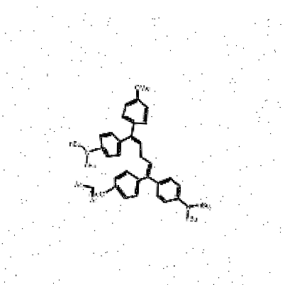 CC(=O)CC(C)=O.CCCCN(CCCC)c1ccc(C(=CCC=C(c2ccc(OC)cc2)c2ccc(N(CCCC)CCCC)cc2)c2ccc(OC)cc2)cc1